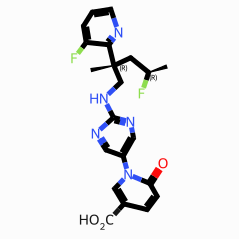 C[C@@H](F)C[C@](C)(CNc1ncc(-n2cc(C(=O)O)ccc2=O)cn1)c1ncccc1F